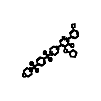 O=c1c(OC2CCCC2)c(N2CCN(S(=O)(=O)c3ccc(S(=O)(=O)N4CCOCC4)cc3)CC2)cnn1-c1cccc(Cl)c1